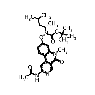 CC(=O)Nc1cc2c(cn1)c(=O)n(C)c1cc(ON(C(=O)OC(C)(C)C)[C@@H](C)CC(C)C)ccc21